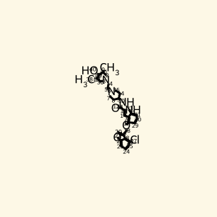 C[C@@H]1CN(CCN2CCC(NC(=O)c3cc4c(OCc5coc6cccc(Cl)c56)cccc4[nH]3)CC2)C[C@H](C)[C@H]1O